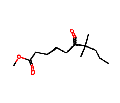 CCCC(C)(C)C(=O)CCCCC(=O)OC